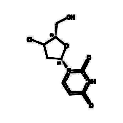 O=c1ccn([C@@H]2CC(Cl)[C@H](CO)O2)c(=O)[nH]1